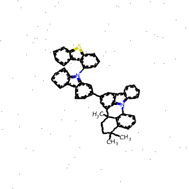 CC1(C)CCC2(C)c3c(cccc31)-n1c3ccccc3c3cc(-c4ccc5c6ccccc6n(-c6cccc7sc8ccccc8c67)c5c4)cc2c31